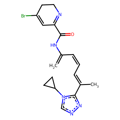 C=C(/C=C\C=C(/C)c1nncn1C1CC1)NC(=O)C1=NCCC(Br)=C1